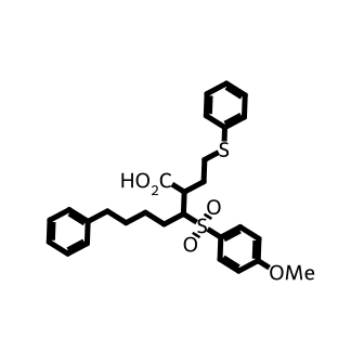 COc1ccc(S(=O)(=O)C(CCCCc2ccccc2)C(CCSc2ccccc2)C(=O)O)cc1